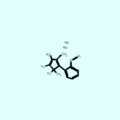 CC1=C(C)C(C)(C)C(c2ccccc2[O][Ti])=C1C.Cl.Cl